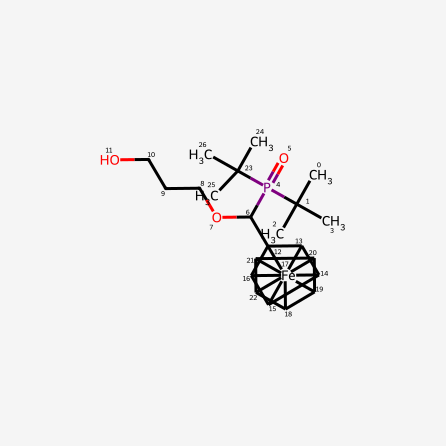 CC(C)(C)P(=O)(C(OCCCO)[C]12[CH]3[CH]4[CH]5[CH]1[Fe]45321678[CH]2[CH]1[CH]6[CH]7[CH]28)C(C)(C)C